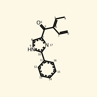 C=C/C(=C\C)C(=O)c1c[nH]c(-c2ccccc2)n1